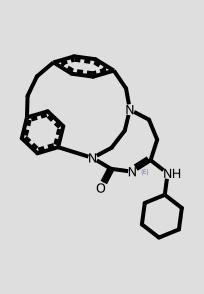 O=C1/N=C(/NC2CCCCC2)CCN2CCN1c1ccc(cc1)CCc1ccc(cc1)C2